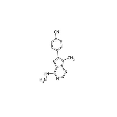 Cc1c(-c2ccc(C#N)cc2)sc2c(NN)ncnc12